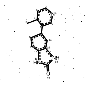 Cc1ccncc1-c1ccc2[nH]c(=O)[nH]c2c1